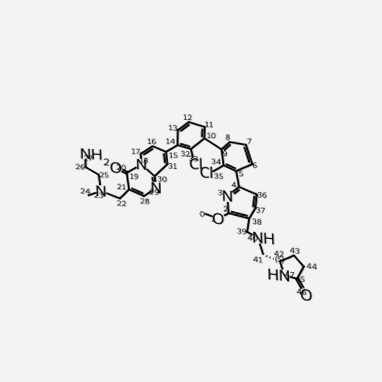 COc1nc(-c2cccc(-c3cccc(-c4ccn5c(=O)c(CN(C)CCN)cnc5c4)c3Cl)c2Cl)ccc1CNC[C@@H]1CCC(=O)N1